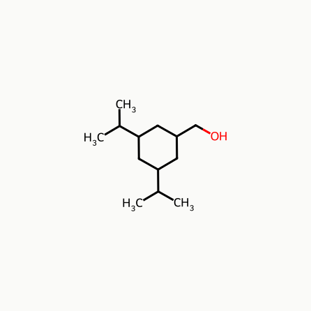 CC(C)C1CC(CO)CC(C(C)C)C1